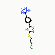 Cn1c(SCCCCl)nnc1-c1ccc(-c2nnn[nH]2)cc1